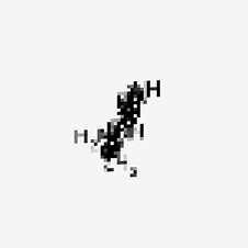 Cc1ccc2c(N)c(C(=O)N[C@@H]3CCc4nc(N5CCNCC5)c(F)cc4C3)sc2n1